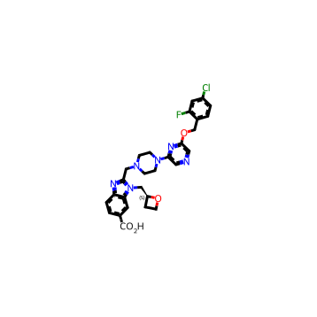 O=C(O)c1ccc2nc(CN3CCN(c4cncc(OCc5ccc(Cl)cc5F)n4)CC3)n(C[C@@H]3CCO3)c2c1